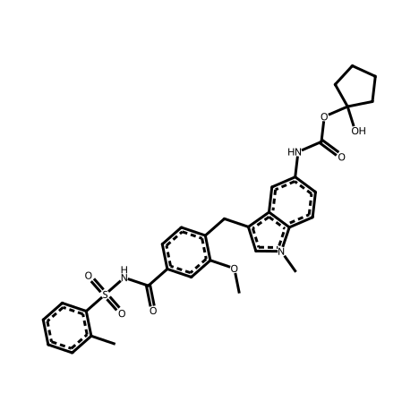 COc1cc(C(=O)NS(=O)(=O)c2ccccc2C)ccc1Cc1cn(C)c2ccc(NC(=O)OC3(O)CCCC3)cc12